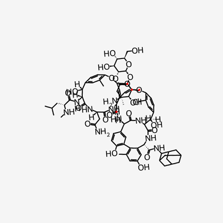 CN[C@H](CC(C)C)C(=O)N[C@H]1C(=O)N[C@@H](CC(N)=O)C(=O)N[C@H]2C(=O)N[C@H]3C(=O)N[C@H](C(=O)N[C@H](C(=O)NC4C5CC6CC(C5)CC4C6)c4cc(O)cc(C)c4-c4cc3ccc4O)[C@H](O)c3ccc(c(Cl)c3)Oc3cc2cc(c3O[C@@H]2O[C@H](CO)[C@@H](O)[C@H](O)[C@H]2O[C@H]2C[C@](C)(N)[C@H](O)[C@H](C)O2)Oc2ccc(cc2C)[C@H]1O